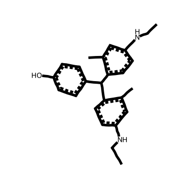 CCNc1ccc(C(c2ccc(O)cc2)c2ccc(NCC)cc2C)c(C)c1